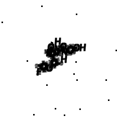 Cc1cc(Oc2ccc(C)c(F)c2)cc(-c2cn(C)c(=O)c3[nH]c(C(=O)NC4CCC(O)CC4)cc23)c1